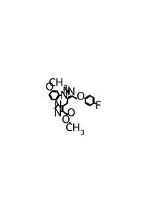 CCOC(=O)c1ncn2c1Cc1c(COc3ccc(F)cc3)nnn1-c1cc(OC)ccc1-2